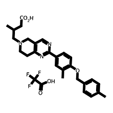 Cc1ccc(COc2ccc(-c3ncc4c(n3)CCN(CC(C)CC(=O)O)C4)cc2C)cc1.O=C(O)C(F)(F)F